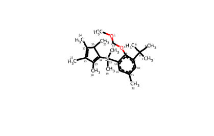 COCOc1c(C(C)(C)C)cc(C)cc1[Si](C)(C)C1=C(C)C(C)=C(C)C1C